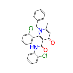 Cc1cc(=O)c(C(=O)Nc2ccccc2Cl)c(-c2ccccc2Cl)n1Cc1ccccc1